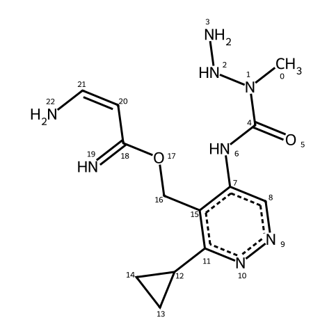 CN(NN)C(=O)Nc1cnnc(C2CC2)c1COC(=N)/C=C\N